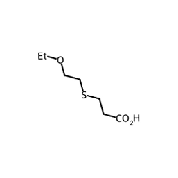 CCOCCSCCC(=O)O